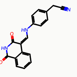 N#CCc1ccc(N/C=C2\C(=O)NC(=O)c3ccccc32)cc1